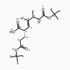 CC(NC(=O)OC(C)(C)C)/C(F)=C/[C@H](CCC(=O)OC(C)(C)C)C(=O)O